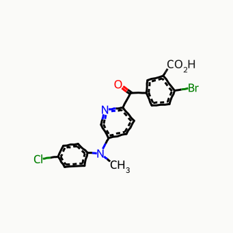 CN(c1ccc(Cl)cc1)c1ccc(C(=O)c2ccc(Br)c(C(=O)O)c2)nc1